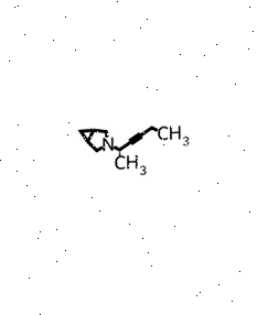 CCC#C[C@H](C)N1CC2CC2C1